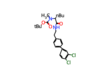 CCCC[C@@H](C(=O)NCCc1ccc(-c2ccc(Cl)c(Cl)c2)cc1)N(C)C(=O)OC(C)(C)C